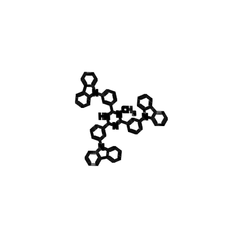 CN1C(c2cccc(-n3c4ccccc4c4ccccc43)c2)=NC(c2cccc(-n3c4ccccc4c4ccccc43)c2)NC1c1cccc(-n2c3ccccc3c3ccccc32)c1